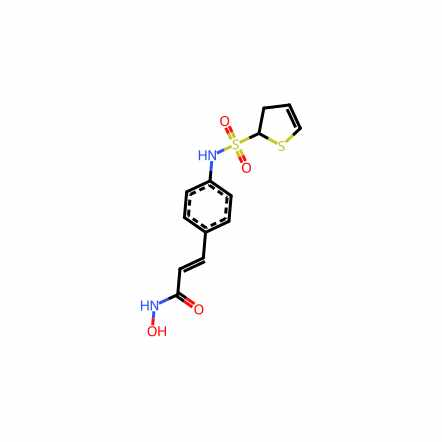 O=C(/C=C/c1ccc(NS(=O)(=O)C2CC=CS2)cc1)NO